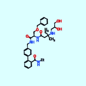 CCNC(=O)c1ccccc1-c1ccc(CNC(=O)[C@@H](COCc2ccccc2)NC(=O)CC(C)(C)NC[C@H](O)CO)cc1